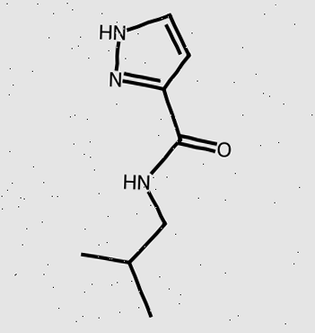 CC(C)CNC(=O)c1cc[nH]n1